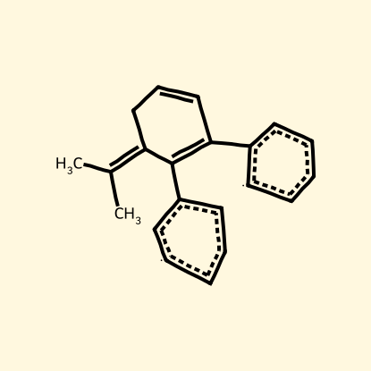 CC(C)=C1CC=CC(c2[c]cccc2)=C1c1c[c]ccc1